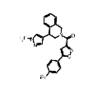 CC(C)c1ccc(-c2cc(C(=O)N3Cc4ccccc4C(c4cnn(C)c4)C3)no2)cc1